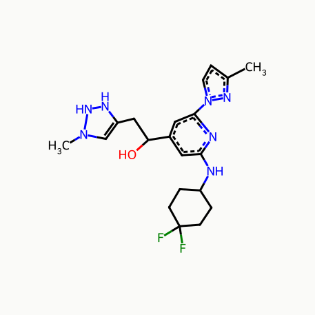 Cc1ccn(-c2cc(C(O)CC3=CN(C)NN3)cc(NC3CCC(F)(F)CC3)n2)n1